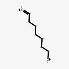 C=[C]CCCCCCO